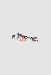 CCC(C)C(CC(=O)O)C(=O)OC1CCC(CC[Si](CO)(OC)OC)CC1O